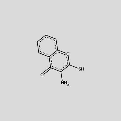 Nc1c(S)oc2ccccc2c1=O